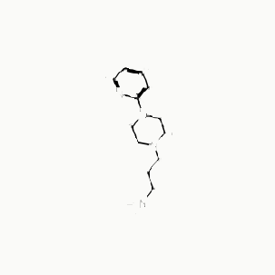 NCCCN1CCN(c2ccccn2)CC1